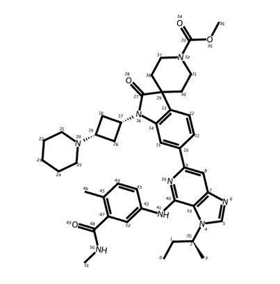 CC[C@H](C)n1cnc2cc(-c3ccc4c(c3)N([C@H]3C[C@@H](N5CCCCC5)C3)C(=O)C43CCN(C(=O)OC)CC3)nc(Nc3ccc(C)c(C(=O)NC)c3)c21